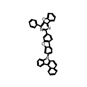 c1ccc(-c2nc(-c3ccc4c(c3)oc3cc(-n5c6ccccc6c6c7ccccc7ccc65)ccc34)nc3c2oc2ccccc23)cc1